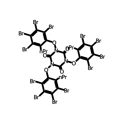 CCCc1c(Br)c(Br)c(Br)c(Br)c1On1c(=O)n(Oc2c(Br)c(Br)c(Br)c(Br)c2CCC)c(=O)n(Oc2c(Br)c(Br)c(Br)c(Br)c2CCC)c1=O